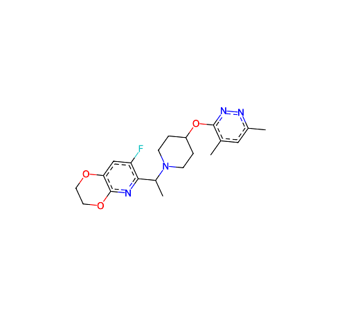 Cc1cc(C)c(OC2CCN(C(C)c3nc4c(cc3F)OCCO4)CC2)nn1